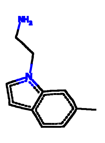 Cc1ccc2ccn(CCN)c2c1